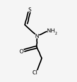 NN(C=S)C(=O)CCl